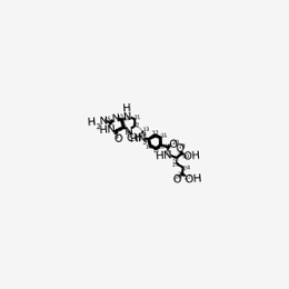 CN1c2c(nc(N)[nH]c2=O)NC[C@@H]1CNc1ccc(C(=O)N[C@H](CCC(=O)O)C(=O)O)cc1